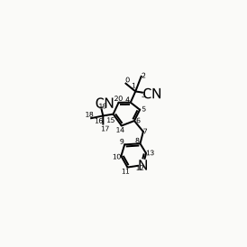 CC(C)(C#N)c1cc(Cc2cccnc2)cc(C(C)(C)C#N)c1